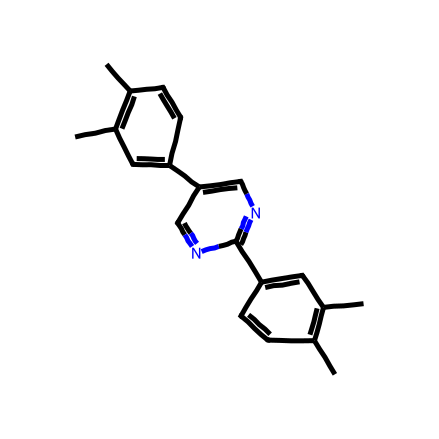 Cc1ccc(-c2cnc(-c3ccc(C)c(C)c3)nc2)cc1C